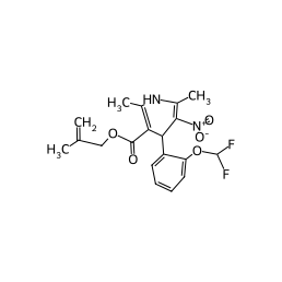 C=C(C)COC(=O)C1=C(C)NC(C)=C([N+](=O)[O-])C1c1ccccc1OC(F)F